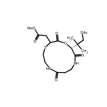 COC(=O)CC1SCCNC(=O)CCNC(=O)[C@@H](C(C)(C)COC(C)=O)OC1=O